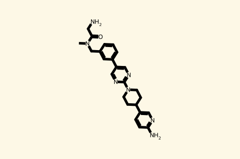 CN(Cc1cccc(-c2cnc(N3CCC(c4ccc(N)nc4)CC3)nc2)c1)C(=O)CN